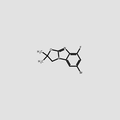 CC1(C)Cn2c(nc3c(F)cc(Br)cc32)O1